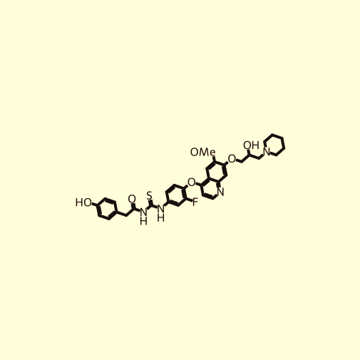 COc1cc2c(Oc3ccc(NC(=S)NC(=O)Cc4ccc(O)cc4)cc3F)ccnc2cc1OCC(O)CN1CCCCC1